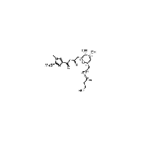 CSc1nc(C(=O)CC(=O)C[C@@H]2O[C@H](C[C@@H]3O[C@H]3[C@@H](C)CCO)C[C@@H](O)[C@H]2O)cn1C